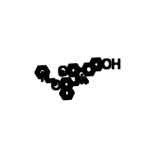 CCN(Cc1ccc(OCCN2CCCCC2)c2ccccc12)c1cc(OC)ccc1C1CCc2cc(O)ccc2C1